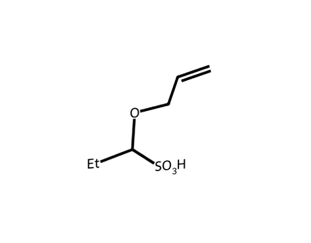 C=CCOC(CC)S(=O)(=O)O